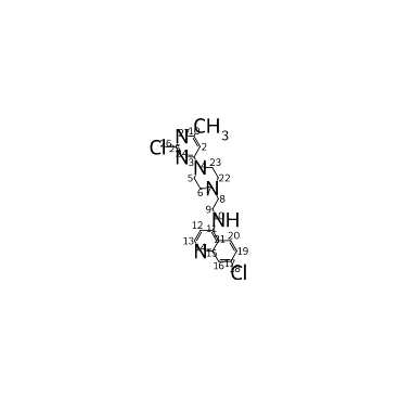 Cc1cc(N2CCN(CCNc3ccnc4cc(Cl)ccc34)CC2)nc(Cl)n1